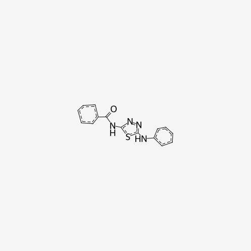 O=C(Nc1nnc(Nc2ccccc2)s1)c1ccccc1